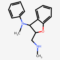 CNCC1Oc2ccccc2C1N(C)c1ccccc1